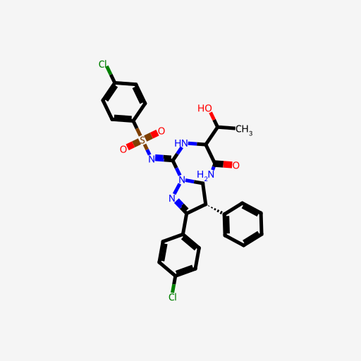 CC(O)C(N/C(=N\S(=O)(=O)c1ccc(Cl)cc1)N1C[C@H](c2ccccc2)C(c2ccc(Cl)cc2)=N1)C(N)=O